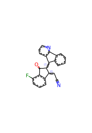 N#C/C=C1/C(=C2\c3ccccc3-c3ncccc32)C(=O)c2c(F)cccc21